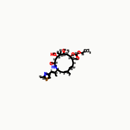 CC1=C/C[C@@H](/C(C)=C/c2csc(C)n2)NC(=O)C[C@H](O)C(C)(C)C(=O)[C@H](C)[C@@H](OC(=O)OCC(Cl)(Cl)Cl)[C@@H](C)C\C=C\1